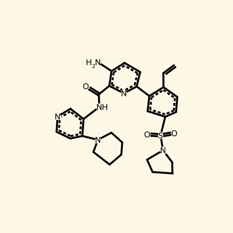 C=Cc1ccc(S(=O)(=O)N2CCCC2)cc1-c1ccc(N)c(C(=O)Nc2cnccc2N2CCCCC2)n1